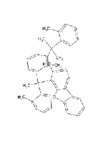 Cc1ccccc1C(C)(C)c1cccc(C(C)(c2c(C)ccc3c2oc2ccccc23)c2cccc[n+]2C)[n+]1C